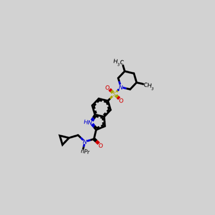 CCCN(CC1CC1)C(=O)c1cc2cc(S(=O)(=O)N3CC(C)CC(C)C3)ccc2[nH]1